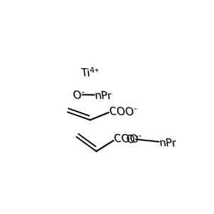 C=CC(=O)[O-].C=CC(=O)[O-].CCC[O-].CCC[O-].[Ti+4]